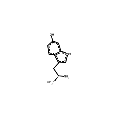 N[C@H](Cc1c[nH]c2cc(O)ccc12)C(=O)O